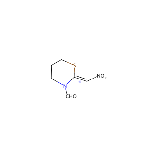 O=CN1CCCS/C1=C\[N+](=O)[O-]